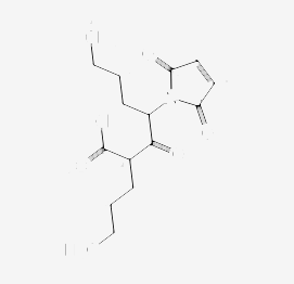 CCCCC(C(=O)Cl)C(=O)C(CCCC)N1C(=O)C=CC1=O